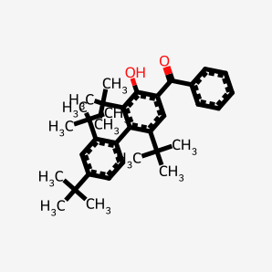 CC(C)(C)c1ccc(-c2c(C(C)(C)C)cc(C(=O)c3ccccc3)c(O)c2C(C)(C)C)c(C(C)(C)C)c1